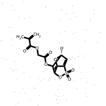 C=C(C)C(=O)OCC(=O)OC1C2=C3O[C@H]1C=C3S(=O)(=O)O2